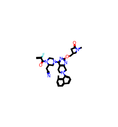 C=C(F)C(=O)N1CCN(c2nc(OCC3CC(=O)N(C)C3)nc3c2CCN(c2cccc4cccc(C)c24)C3)CC1CC#N